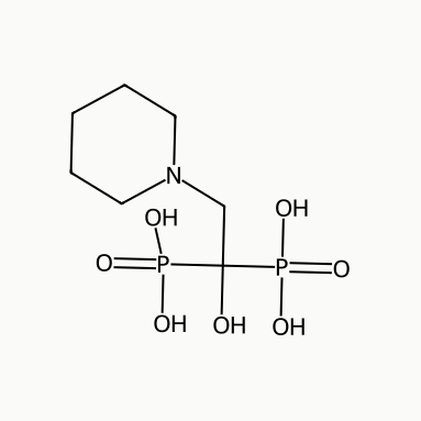 O=P(O)(O)C(O)(CN1CCCCC1)P(=O)(O)O